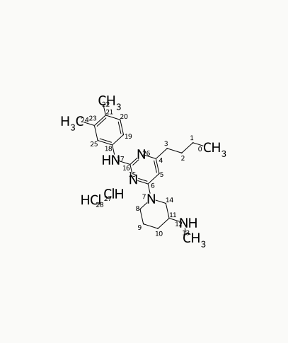 CCCCc1cc(N2CCCC(NC)C2)nc(Nc2ccc(C)c(C)c2)n1.Cl.Cl